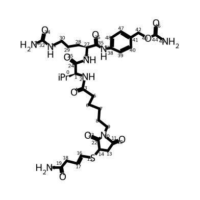 CC(C)[C@H](NC(=O)CCCCCN1C(=O)CC(S/C=C/CC(N)=O)C1=O)C(=O)N[C@@H](CCCNC(N)=O)C(=O)Nc1ccc(COC(N)=O)cc1